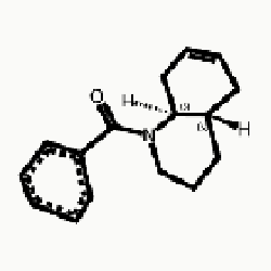 O=C(c1ccccc1)N1CCC[C@H]2CC=CC[C@@H]21